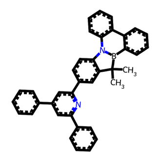 CC1(C)B2c3ccccc3-c3ccccc3N2c2ccc(-c3cc(-c4ccccc4)cc(-c4ccccc4)n3)cc21